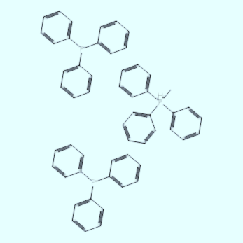 C[PH](c1ccccc1)(c1ccccc1)c1ccccc1.c1ccc(P(c2ccccc2)c2ccccc2)cc1.c1ccc(P(c2ccccc2)c2ccccc2)cc1